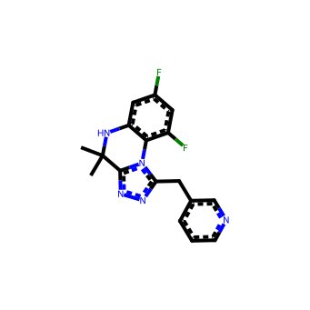 CC1(C)Nc2cc(F)cc(F)c2-n2c(Cc3cccnc3)nnc21